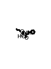 CCCCOC(=O)NC(CC(C)c1ccccc1)C(=O)O